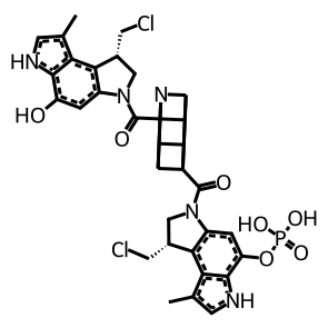 Cc1c[nH]c2c(O)cc3c(c12)[C@H](CCl)CN3C(=O)C12C3C4C1C1N2C3C41C(=O)N1C[C@@H](CCl)c2c1cc(OP(=O)(O)O)c1[nH]cc(C)c21